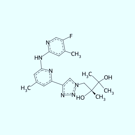 Cc1cc(Nc2cc(C)c(F)cn2)nc(-c2cn(C[C@@](C)(O)C(C)(C)O)nn2)c1